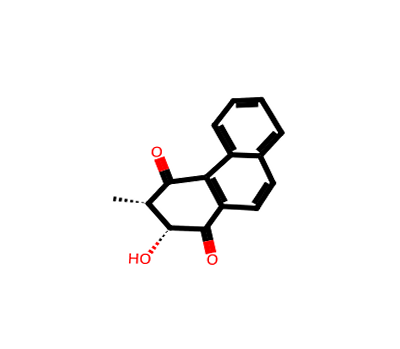 C[C@@H]1C(=O)c2c(ccc3ccccc23)C(=O)[C@@H]1O